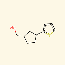 OC[C@H]1CCC(c2cccs2)C1